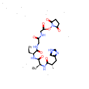 CCC(C)[C@H](NC(=O)[C@@H](C)Cc1c[nH]cn1)C(=O)N[C@@H](CC(C)C)C(=O)NCC(=O)NCC(=O)ON1C(=O)CCC1=O